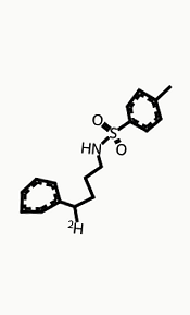 [2H]C(CCCNS(=O)(=O)c1ccc(C)cc1)c1ccccc1